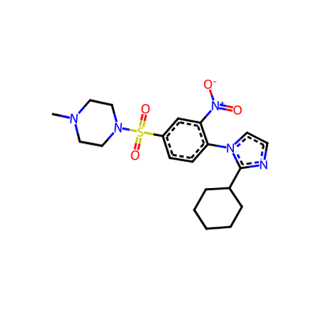 CN1CCN(S(=O)(=O)c2ccc(-n3ccnc3C3CCCCC3)c([N+](=O)[O-])c2)CC1